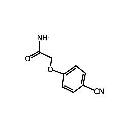 N#Cc1ccc(OCC([NH])=O)cc1